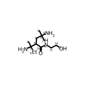 CCC(C)(N)C(CC(C)(C)N)C(=O)NCCO